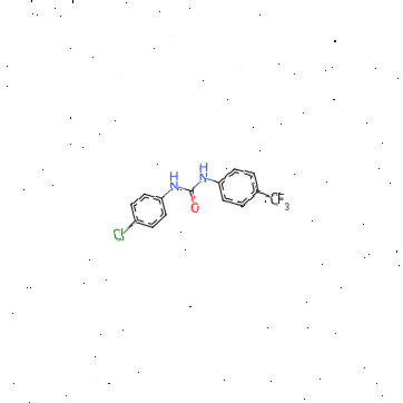 O=C(Nc1ccc(Cl)cc1)Nc1ccc(C(F)(F)F)cc1